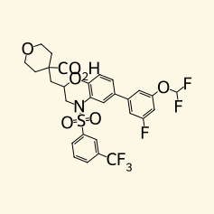 O=C(O)C1(CC2CN(S(=O)(=O)c3cccc(C(F)(F)F)c3)c3cc(-c4cc(F)cc(OC(F)F)c4)ccc3O2)CCOCC1